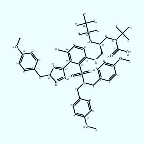 COc1ccc(CN(Cc2ccc(OC)cc2)S(=O)(=O)c2c(SC[C@H](CN(C(=O)O)C(C)(C)C)O[Si](C)(C)C(C)(C)C)ccc(I)c2-c2nnn(Cc3ccc(OC)cc3)n2)cc1